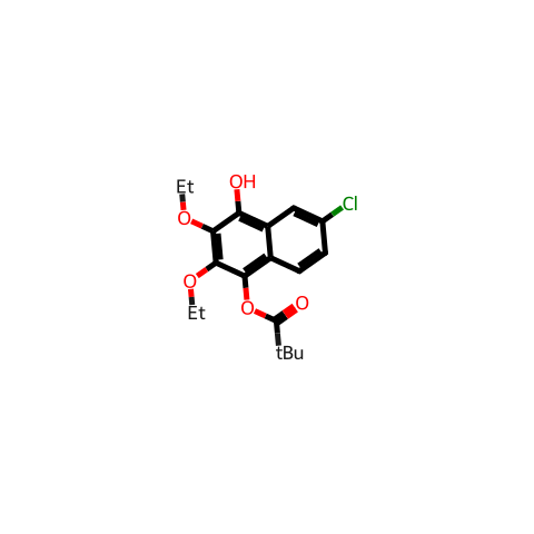 CCOc1c(OCC)c(OC(=O)C(C)(C)C)c2ccc(Cl)cc2c1O